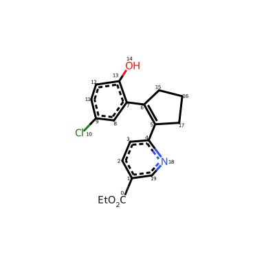 CCOC(=O)c1ccc(C2=C(c3cc(Cl)ccc3O)CCC2)nc1